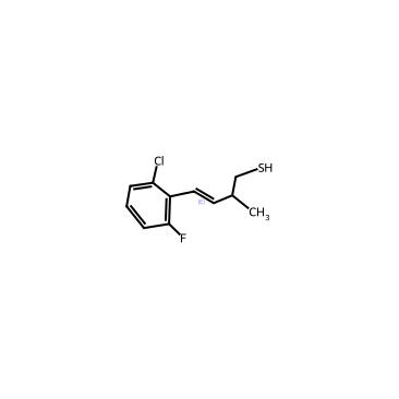 CC(/C=C/c1c(F)cccc1Cl)CS